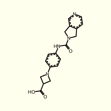 O=C(O)C1CN(c2ccc(NC(=O)N3Cc4ccncc4C3)cc2)C1